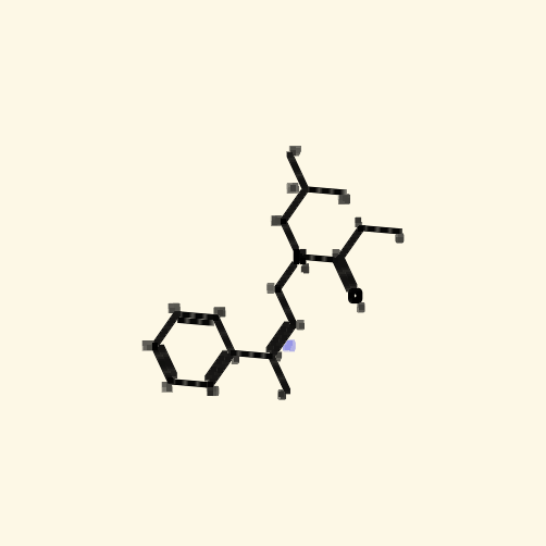 CCC(=O)N(C/C=C(/C)c1ccccc1)CC(C)C